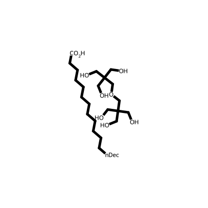 CCCCCCCCCCCCCCCCCCCCCC(=O)O.OCC(CO)(CO)COCC(CO)(CO)CO